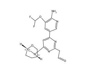 Nc1ncc(-c2cc(N3C[C@@H]4CC[C@H]3CO4)nc(CC=O)n2)cc1OC(F)F